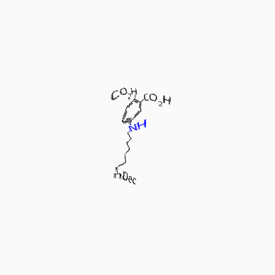 CCCCCCCCCCCCCCCCCNc1ccc(C(=O)O)c(C(=O)O)c1